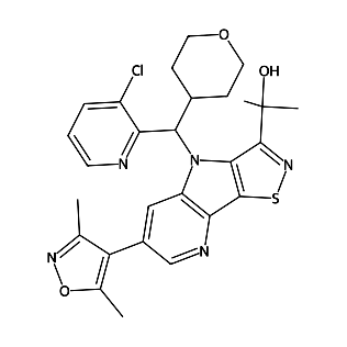 Cc1noc(C)c1-c1cnc2c3snc(C(C)(C)O)c3n(C(c3ncccc3Cl)C3CCOCC3)c2c1